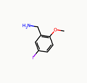 COc1ccc(I)cc1CN